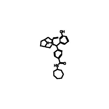 C=CCN1C2CCC1CN(C(c1ccc(C(=O)NC3CCCCCC3)cc1)c1cccc(O)c1)CC2